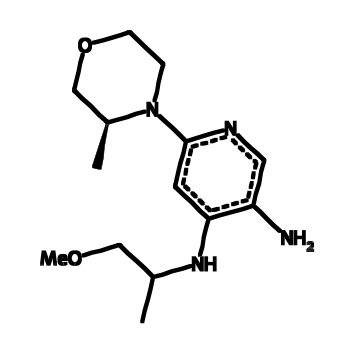 COCC(C)Nc1cc(N2CCOC[C@@H]2C)ncc1N